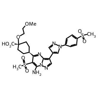 COCCO[C@]1(C(=O)O)CC[C@@H](c2nc3c(-c4cnn(-c5ccc(S(C)(=O)=O)cc5)c4)cnn3c(N)c2S(C)(=O)=O)CC1